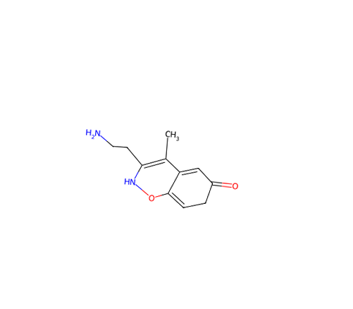 CC1=C(CCN)NOC2=CCC(=O)C=C21